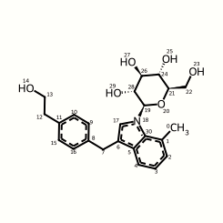 Cc1cccc2c(Cc3ccc(CCO)cc3)cn([C@@H]3O[C@H](CO)[C@@H](O)[C@H](O)[C@H]3O)c12